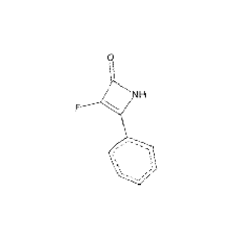 O=C1NC(c2ccccc2)=C1F